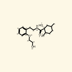 CC1CCC(C(C)C)[C@@](O)(C(=O)NCCc2ccccc2OCCO)C1